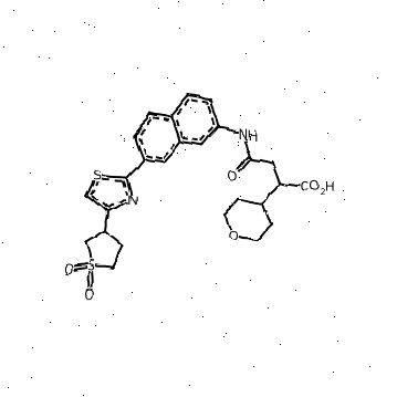 O=C(CC(C(=O)O)C1CCOCC1)Nc1ccc2ccc(-c3nc(C4CCS(=O)(=O)C4)cs3)cc2c1